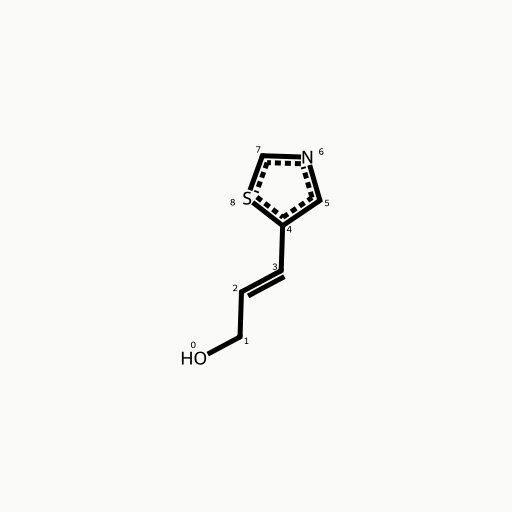 OCC=Cc1cncs1